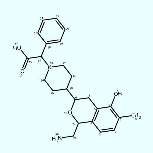 Cc1ccc2c(c1O)CC(C1CCN(C(C(=O)O)c3ccccc3)CC1)OC2CN